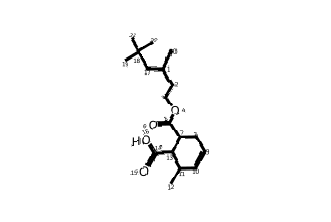 CC(CCOC(=O)C1CC=CC(C)C1C(=O)O)CC(C)(C)C